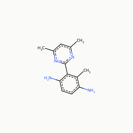 Cc1cc(C)nc(-c2c(N)ccc(N)c2C)n1